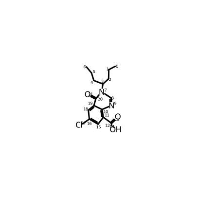 CCCC(CCC)n1cnc2c(C(=O)O)cc(Cl)cc2c1=O